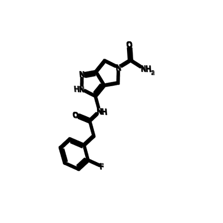 NC(=O)N1Cc2n[nH]c(NC(=O)Cc3ccccc3F)c2C1